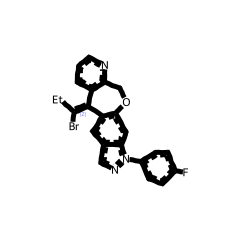 CC/C(Br)=C1/c2cc3cnn(-c4ccc(F)cc4)c3cc2OCc2ncccc21